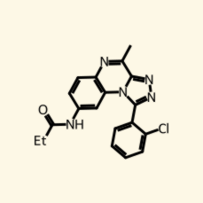 CCC(=O)Nc1ccc2nc(C)c3nnc(-c4ccccc4Cl)n3c2c1